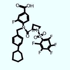 O=C(O)c1ccc(N(Cc2ccc(C3CCCCC3)cc2)C(=O)[C@H]2CCN2S(=O)(=O)c2c(F)c(F)c(F)c(F)c2F)c(F)c1